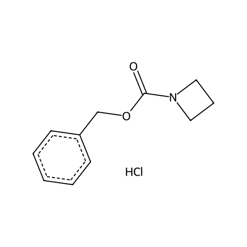 Cl.O=C(OCc1ccccc1)N1CCC1